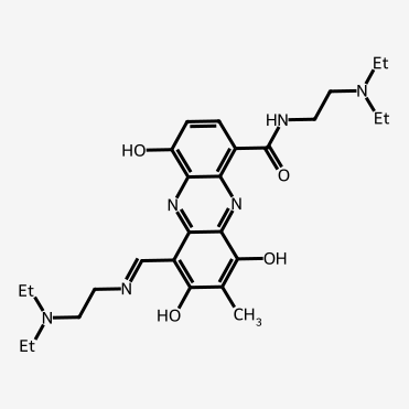 CCN(CC)CCN=Cc1c(O)c(C)c(O)c2nc3c(C(=O)NCCN(CC)CC)ccc(O)c3nc12